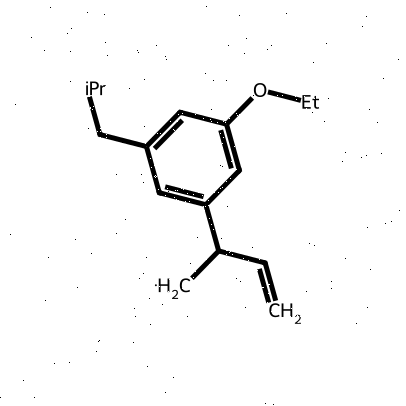 [CH2]C(C=C)c1cc(CC(C)C)cc(OCC)c1